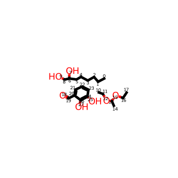 CCCCCCC(O)CO.CCOC(C)OCC.O=Cc1cccc(O)c1O